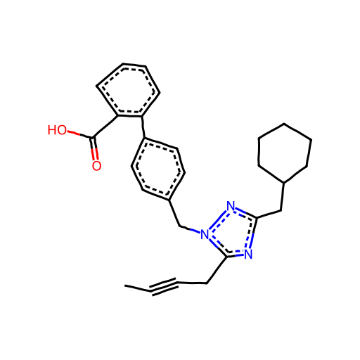 CC#CCc1nc(CC2CCCCC2)nn1Cc1ccc(-c2ccccc2C(=O)O)cc1